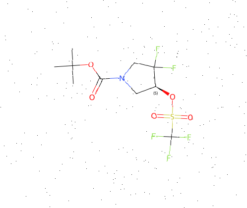 CC(C)(C)OC(=O)N1C[C@H](OS(=O)(=O)C(F)(F)F)C(F)(F)C1